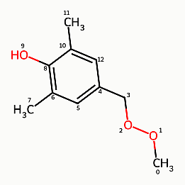 COOCc1cc(C)c(O)c(C)c1